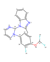 Cc1nc2ccccc2n1C1N=CC=CN1c1ccc(OC(F)F)c(F)c1